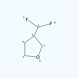 FC(F)C1CCOC1